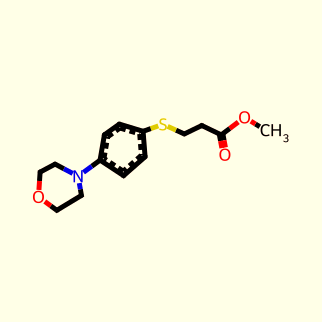 COC(=O)CCSc1ccc(N2CCOCC2)cc1